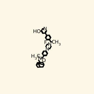 CC(c1ccc(-c2cncc(O)c2)cc1F)N1CCN(c2ccc(C(=O)N(C)CC34CC5CC(CC(C5)C3)C4)cc2)CC1